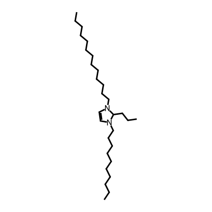 CCCCCCCCCCCCCN1C=CN(CCCCCCCCCC)C1CCC